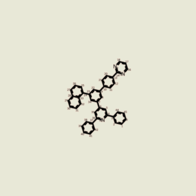 c1ccc(-c2cc(-c3cc(-c4ccc(-c5ncccn5)cc4)cc(-c4cccc5ccccc45)c3)cc(-c3ccccc3)n2)cc1